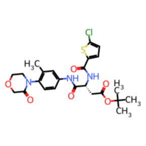 Cc1cc(NC(=O)[C@@H](CC(=O)OC(C)(C)C)NC(=O)c2ccc(Cl)s2)ccc1N1CCOCC1=O